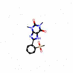 Cn1c(=O)c2[nH]c(-c3ccccc3S(C)(=O)=O)nc2n(C)c1=O